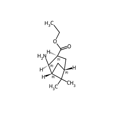 CCOC(=O)[C@H]1C[C@H]2C[C@@H]([C@H]1N)C2(C)C